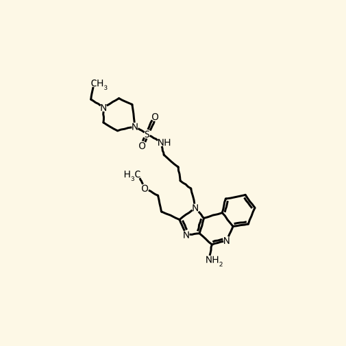 CCN1CCN(S(=O)(=O)NCCCCn2c(CCOC)nc3c(N)nc4ccccc4c32)CC1